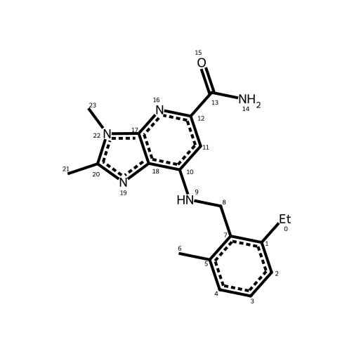 CCc1cccc(C)c1CNc1cc(C(N)=O)nc2c1nc(C)n2C